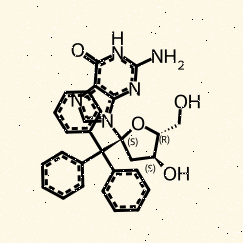 Nc1nc2c(ncn2[C@@]2(C(c3ccccc3)(c3ccccc3)c3ccccc3)C[C@H](O)[C@@H](CO)O2)c(=O)[nH]1